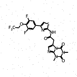 Cn1c(=O)n(C)c2ncc(CC(=O)Nc3nc(-c4cc(F)c(OCC(F)(F)F)c(F)c4)cs3)n2c1=O